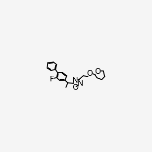 CC(c1ccc(-c2ccccc2)c(F)c1)c1nc(CCOC2CCCCO2)no1